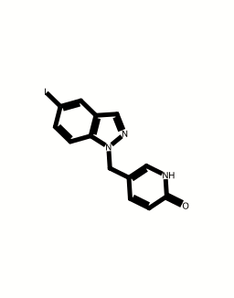 O=c1ccc(Cn2ncc3cc(I)ccc32)c[nH]1